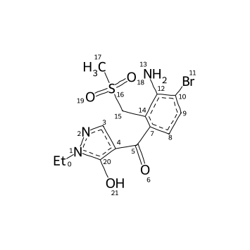 CCn1ncc(C(=O)c2ccc(Br)c(N)c2CS(C)(=O)=O)c1O